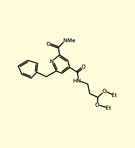 CCOC(CCNC(=O)c1cc(Cc2ccccc2)nc(C(=O)NC)c1)OCC